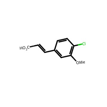 COc1cc(/C=C/C(=O)O)ccc1Cl